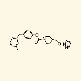 Cc1cccc(Cc2ccc(OC(=O)N3CCC(COn4cccn4)CC3)cc2)n1